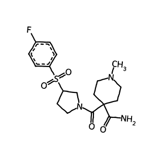 CN1CCC(C(N)=O)(C(=O)N2CCC(S(=O)(=O)c3ccc(F)cc3)C2)CC1